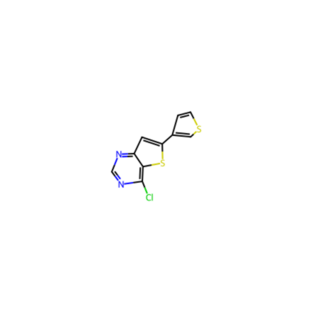 Clc1ncnc2cc(-c3ccsc3)sc12